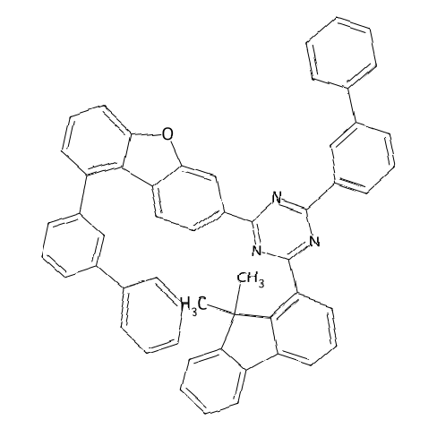 CC1(C)c2ccccc2-c2cccc(-c3nc(-c4cccc(-c5ccccc5)c4)nc(-c4ccc5c(c4)oc4cccc(-c6cccc(-c7ccccc7)c6)c45)n3)c21